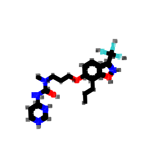 CCCc1c(OCCCN(C)C(=O)Nc2ccncn2)ccc2c(C(F)(F)F)noc12